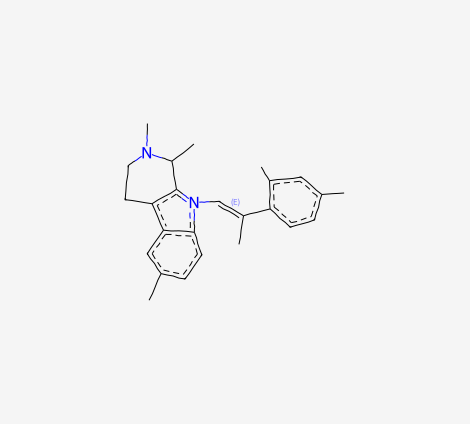 C/C(=C\n1c2c(c3cc(C)ccc31)CCN(C)C2C)c1ccc(C)cc1C